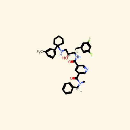 C[C@H](c1ccccc1)N(C)C(=O)c1cncc(C(=O)N[C@@H](Cc2cc(F)cc(F)c2)[C@H](O)CNC2(c3cccc(C(F)(F)F)c3)CCCCC2)c1